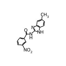 Cc1ccc2[nH]c(NC(=O)c3cccc([N+](=O)[O-])c3)nc2c1